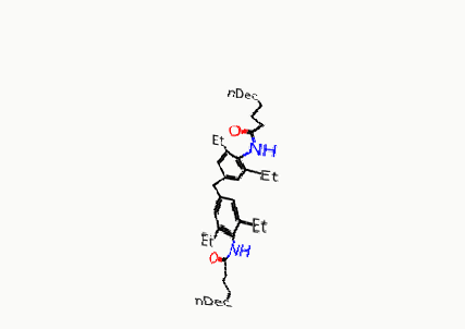 CCCCCCCCCCCCCC(=O)Nc1c(CC)cc(Cc2cc(CC)c(NC(=O)CCCCCCCCCCCCC)c(CC)c2)cc1CC